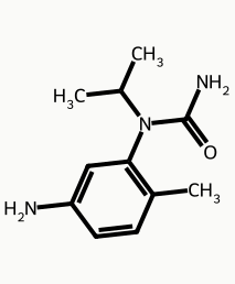 Cc1ccc(N)cc1N(C(N)=O)C(C)C